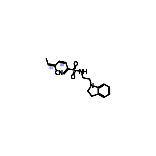 C=C(/C=C\C(C#N)=C/C)S(=O)(=O)NCCN1CCc2ccccc21